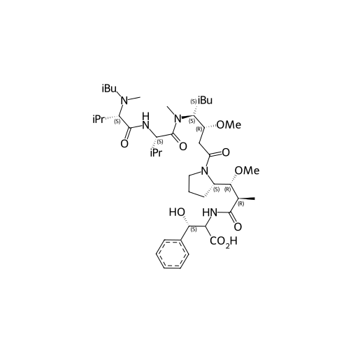 CCC(C)N(C)[C@H](C(=O)N[C@H](C(=O)N(C)[C@@H]([C@@H](C)CC)[C@@H](CC(=O)N1CCC[C@H]1[C@H](OC)[C@@H](C)C(=O)NC(C(=O)O)[C@@H](O)c1ccccc1)OC)C(C)C)C(C)C